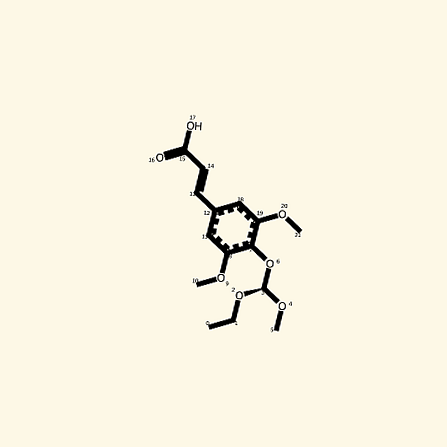 CCO[C@H](OC)Oc1c(OC)cc(/C=C/C(=O)O)cc1OC